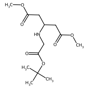 COC(=O)CC(CC(=O)OC)NCC(=O)OC(C)(C)C